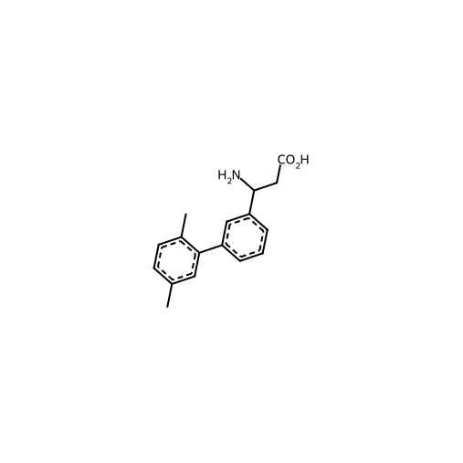 Cc1ccc(C)c(-c2cccc(C(N)CC(=O)O)c2)c1